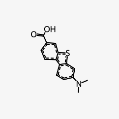 CN(C)c1ccc2c(c1)sc1cc(C(=O)O)ccc12